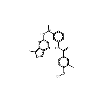 CCOc1ncc(C(=O)Nc2cccc([C@H](C)Nc3cnc4cnn(C)c4n3)c2)cc1C